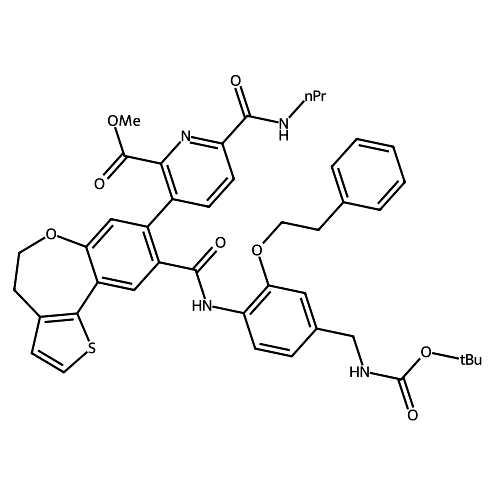 CCCNC(=O)c1ccc(-c2cc3c(cc2C(=O)Nc2ccc(CNC(=O)OC(C)(C)C)cc2OCCc2ccccc2)-c2sccc2CCO3)c(C(=O)OC)n1